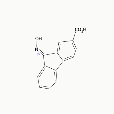 O=C(O)c1ccc2c(c1)/C(=N\O)c1ccccc1-2